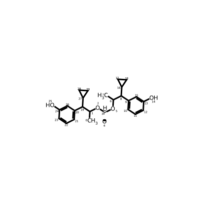 CC(O[PH](=O)OC(C)C(c1cccc(O)c1)C1CC1)C(c1cccc(O)c1)C1CC1